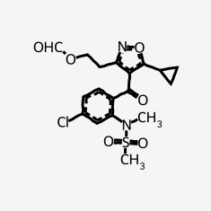 CN(c1cc(Cl)ccc1C(=O)c1c(CCOC=O)noc1C1CC1)S(C)(=O)=O